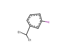 CCC(CC)c1cccc(I)c1